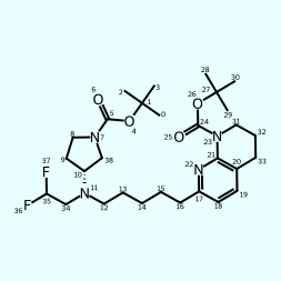 CC(C)(C)OC(=O)N1CC[C@@H](N(CCCCCc2ccc3c(n2)N(C(=O)OC(C)(C)C)CCC3)CC(F)F)C1